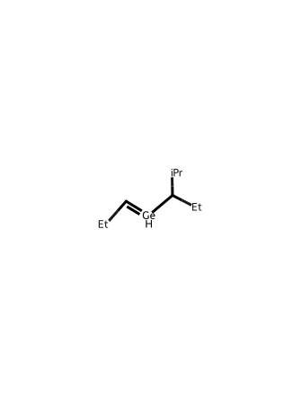 [CH2]C[CH]=[GeH][CH](CC)C(C)C